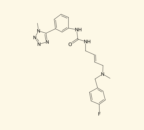 CN(CC=CCNC(=O)Nc1cccc(-c2nnnn2C)c1)Cc1ccc(F)cc1